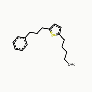 CC(=O)OCCCCc1ccc(CCCc2ccccc2)s1